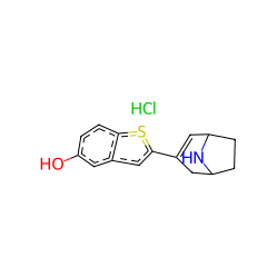 Cl.Oc1ccc2sc(C3=CC4CCC(C3)N4)cc2c1